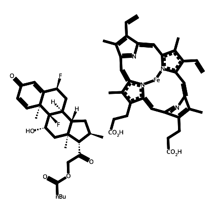 C=CC1=C(C)C2=NC/1=C\c1c(C)c(C=C)c3[n]1[Fe][n]1/c(c(C)c(CCC(=O)O)/c1=C/C1=NC(=C\3)/C(C)=C1CCC(=O)O)=C\2.CCCCC(=O)OCC(=O)[C@H]1[C@H](C)C[C@H]2[C@@H]3C[C@H](F)C4=CC(=O)C=C[C@]4(C)[C@@]3(F)[C@@H](O)C[C@@]21C